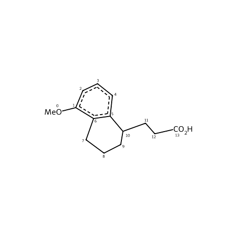 COc1cccc2c1CCCC2CCC(=O)O